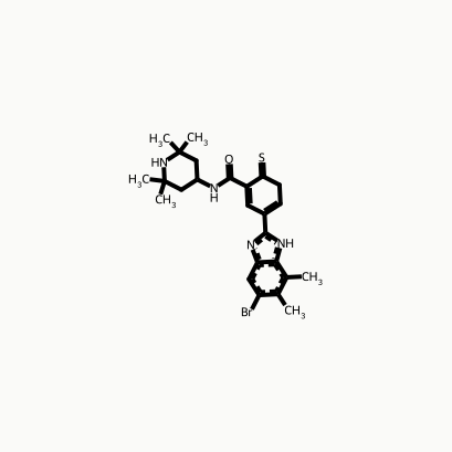 Cc1c(Br)cc2nc(C3=CCC(=S)C(C(=O)NC4CC(C)(C)NC(C)(C)C4)=C3)[nH]c2c1C